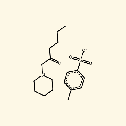 CCCCC(=O)C[S+]1CCCCC1.Cc1ccc(S(=O)(=O)[O-])cc1